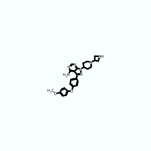 COc1ccc(Oc2ccc(-c3nn(C4CCN(C5CNC5)CC4)c4ncnc(N)c34)cc2)cc1